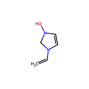 C=CN1C=CN(O)C1